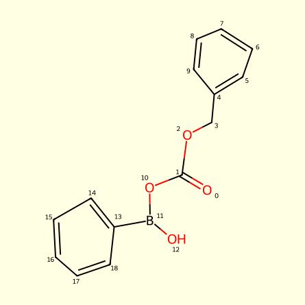 O=C(OCc1ccccc1)OB(O)c1ccccc1